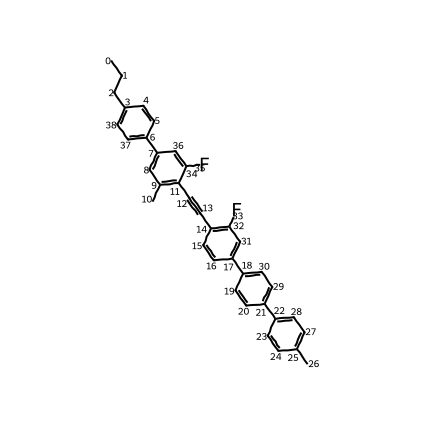 CCCc1ccc(-c2cc(C)c(C#Cc3ccc(-c4ccc(-c5ccc(C)cc5)cc4)cc3F)c(F)c2)cc1